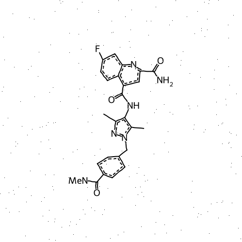 CNC(=O)c1ccc(Cn2nc(C)c(NC(=O)c3cc(C(N)=O)nc4cc(F)ccc34)c2C)cc1